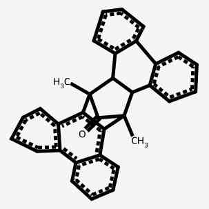 CC12C(=O)C(C)(c3c1c1ccccc1c1ccccc31)C1c3ccccc3-c3ccccc3C12